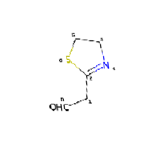 O=CCC1=NCCS1